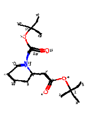 CC(C)(C)OC(=O)CC1CCCCN1C(=O)OC(C)(C)C